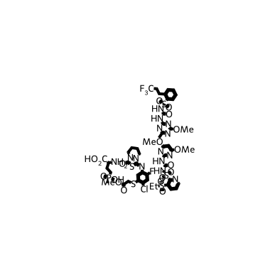 CCS(=O)(=O)c1cccnc1S(=O)(=O)NC(=O)Nc1nc(OC)cc(OC)n1.COC(=O)CSc1cc(/N=c2\sc(=O)n3n2CCCC3)c(F)cc1Cl.COc1nc(C)nc(NC(=O)NS(=O)(=O)c2ccccc2CCC(F)(F)F)n1.CP(=O)(O)CCC(N)C(=O)O